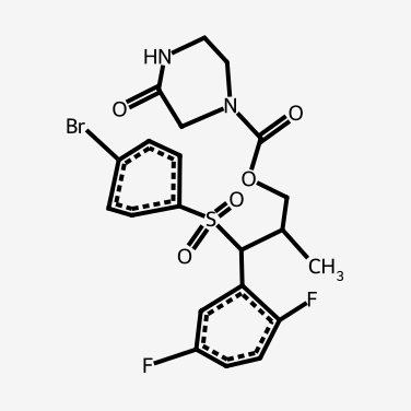 CC(COC(=O)N1CCNC(=O)C1)C(c1cc(F)ccc1F)S(=O)(=O)c1ccc(Br)cc1